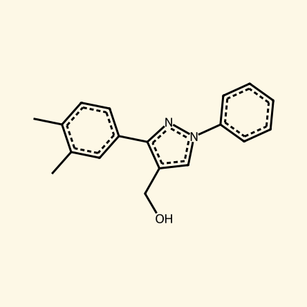 Cc1ccc(-c2nn(-c3ccccc3)cc2CO)cc1C